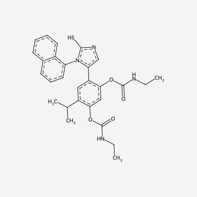 CCNC(=O)Oc1cc(OC(=O)NCC)c(C(C)C)cc1-c1cnc(S)n1-c1cccc2ccccc12